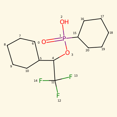 O=P(O)(OC(C1CCCCC1)C(F)(F)F)C1CCCCC1